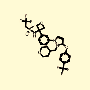 O=S(=O)(CC(F)(F)F)NC1(c2cccc(N3C=CC(Oc4ccc(C(F)(F)F)cc4)N3CC3CCOCC3)c2)COC1